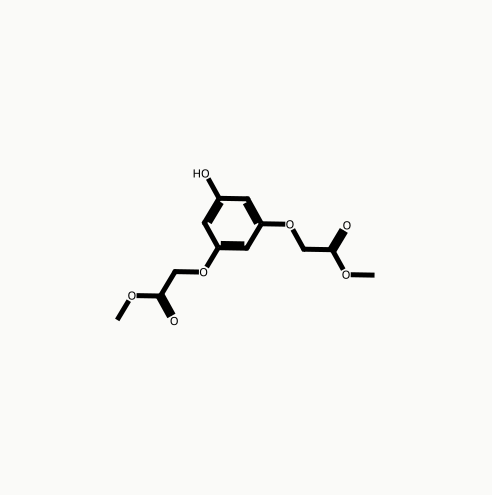 COC(=O)COc1cc(O)cc(OCC(=O)OC)c1